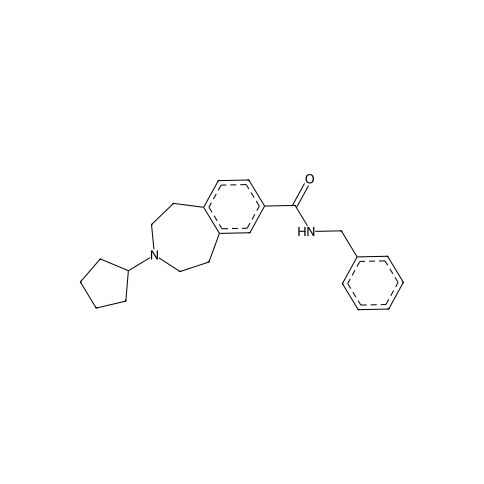 O=C(NCc1ccccc1)c1ccc2c(c1)CCN(C1CCCC1)CC2